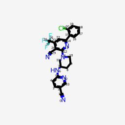 N#Cc1ccc(NC2CCCN(c3nc(-c4ccccc4Cl)cc(C(F)(F)F)c3C#N)C2)nc1